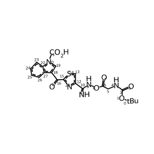 CC(C)(C)OC(=O)NCC(=O)ONC(=N)c1csc(C(=O)c2cn(C(=O)O)c3ccccc23)n1